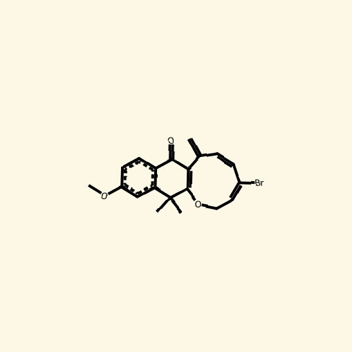 C=C1/C=C\C(Br)=C/COC2=C1C(=O)c1ccc(OC)cc1C2(C)C